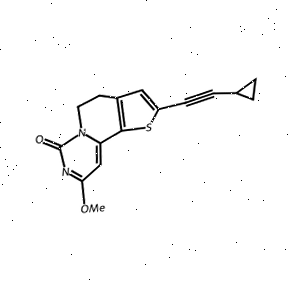 COc1cc2n(c(=O)n1)CCc1cc(C#CC3CC3)sc1-2